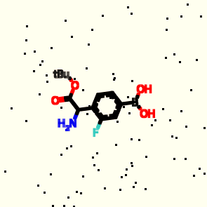 CC(C)(C)OC(=O)C(N)c1ccc(B(O)O)cc1F